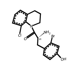 N[C@H](Cc1ccc(O)cc1Br)C(=O)N1CCCc2cccc(Cl)c21